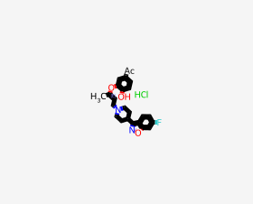 CC(=O)c1ccc(O)c(O/C(C)=C/CN2CCC(c3noc4cc(F)ccc34)CC2)c1.Cl